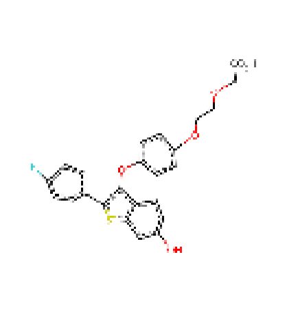 O=C(O)COCCOc1ccc(Oc2c(-c3ccc(F)cc3)sc3cc(O)ccc23)cc1